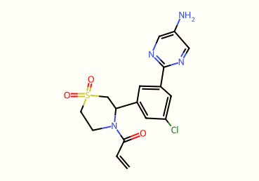 C=CC(=O)N1CCS(=O)(=O)CC1c1cc(Cl)cc(-c2ncc(N)cn2)c1